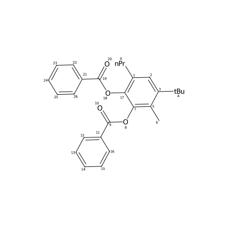 CCCc1cc(C(C)(C)C)c(C)c(OC(=O)c2ccccc2)c1OC(=O)c1ccccc1